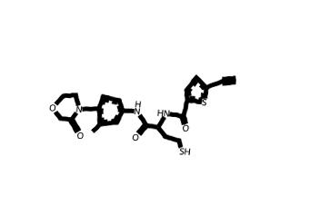 C#Cc1ccc(C(=O)NC(CCS)C(=O)Nc2ccc(N3CCOCC3=O)c(C)c2)s1